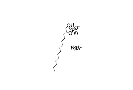 CCCCCCCCCCCCC(CO)OP(=O)([O-])[O-].[Na+].[Na+]